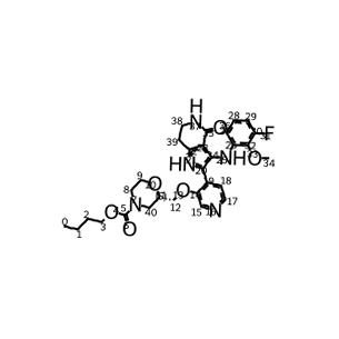 CCCCOC(=O)N1CCO[C@H](COc2cnccc2-c2[nH]c3c(c2Nc2cccc(F)c2OC)C(=O)NCC3)C1